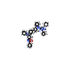 c1ccc(-c2cc(-n3c4ccccc4c4cc(-c5ccc6c(c5)c5cc7oc(-c8ccccc8)nc7cc5n6-c5ccccc5)ccc43)nc(-c3ccccc3)n2)cc1